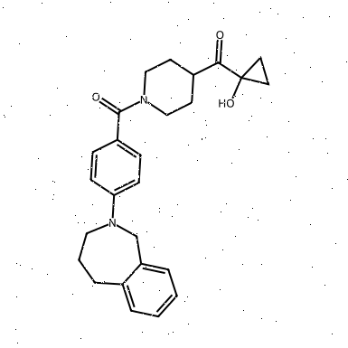 O=C(c1ccc(N2CCCc3ccccc3C2)cc1)N1CCC(C(=O)C2(O)CC2)CC1